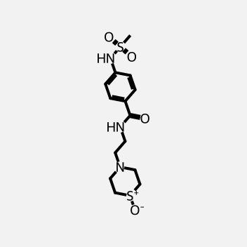 CS(=O)(=O)Nc1ccc(C(=O)NCCN2CC[S+]([O-])CC2)cc1